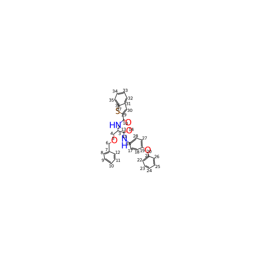 O=C(NC(COCc1ccccc1)C(=O)Nc1ccc(Oc2ccccc2)cc1)c1cc2ccccc2s1